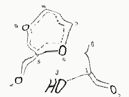 CC(=O)O.O=c1occo1